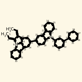 C/C=c1\c(=C/C)n2c3ccccc3c3cc(-c4ccc5c(c4)c4ccccc4n5-c4cccc(-c5ccccc5)c4)cc1c32